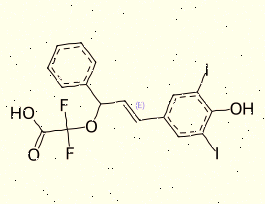 O=C(O)C(F)(F)OC(/C=C/c1cc(I)c(O)c(I)c1)c1ccccc1